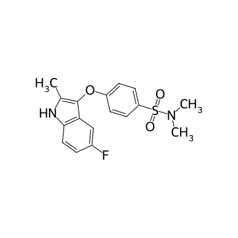 Cc1[nH]c2ccc(F)cc2c1Oc1ccc(S(=O)(=O)N(C)C)cc1